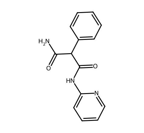 NC(=O)C(C(=O)Nc1ccccn1)c1ccccc1